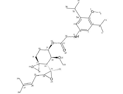 COc1c(C(C)C)cc(NCC(=O)O[C@@H]2CC[C@]3(CO3)[C@@H]([C@@]3(C)OC3CC=C(C)C)[C@@H]2OC)cc1C(C)C